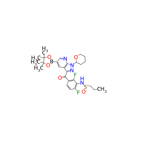 CCC[S+]([O-])Nc1c(F)ccc(C(=O)c2nn(C3CCCCO3)c3ncc(B4OC(C)(C)C(C)(C)O4)cc23)c1F